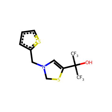 OC(C1=[C]N(Cc2cccs2)CS1)(C(F)(F)F)C(F)(F)F